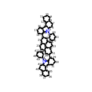 c1ccc(-n2c3ccc4ccccc4c3c3cccc(-c4cc5ccc6cc(-c7cccc8c9c%10ccccc%10ccc9n(-c9ccccc9)c78)cc7ccc(c4)c5c67)c32)cc1